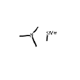 CN(C)C.CSC